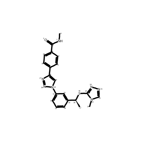 CNC(=O)c1ccc(-c2cn(-c3cccc([C@H](C)Sc4nncn4C)c3)nn2)cc1